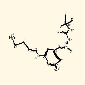 C/S(Cc1cc(Cl)nc(OCCCCO)c1)=N/C(=O)OC(C)(C)C